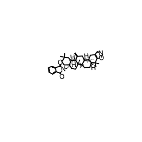 C=C1C[C@@H]2[C@@]3(C)Cc4cnoc4C(C)(C)[C@@H]3CC[C@@]2(C)[C@]2(C)CC[C@@]3(CN4C(=O)c5ccccc5C4=O)CCC(C)(C)C[C@H]3[C@@H]12